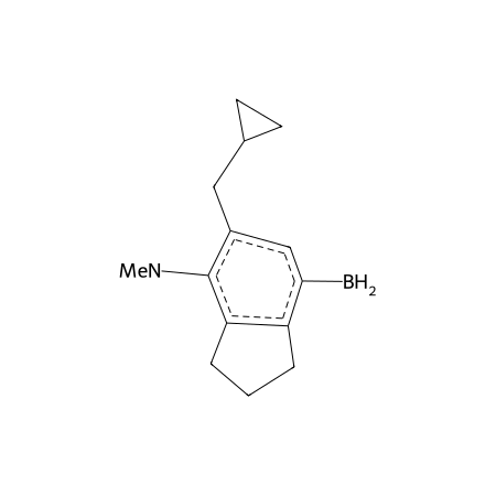 Bc1cc(CC2CC2)c(NC)c2c1CCC2